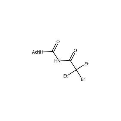 CCC(Br)(CC)C(=O)NC(=O)NC(C)=O